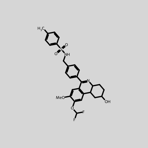 COc1cc2c(cc1OC(F)F)C1CC(O)CCC1N=C2c1ccc(CNS(=O)(=O)c2ccc(C)cc2)cc1